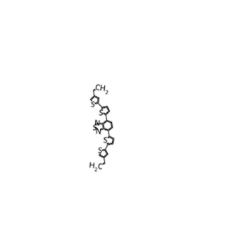 C=Cc1csc(-c2ccc(-c3ccc(-c4ccc(-c5cc(C=C)cs5)s4)c4nsnc34)s2)c1